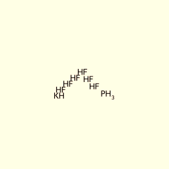 F.F.F.F.F.F.P.[KH]